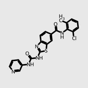 Cc1cccc(Cl)c1NC(=O)c1ccc2nc(NC(=O)Nc3cccnc3)sc2c1